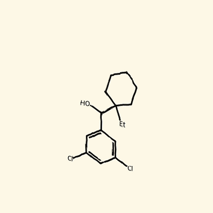 CCC1(C(O)c2cc(Cl)cc(Cl)c2)CCCCC1